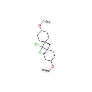 CCCCCCOC1CC[C@]2(CC1)C[C@@]1(CCC(OCCCCCC)CC1)C2(Cl)Cl